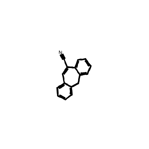 N#CC1=Cc2ccccc2Cc2ccccc21